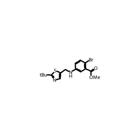 COC(=O)c1cc(NCc2cnc(C(C)(C)C)s2)ccc1Br